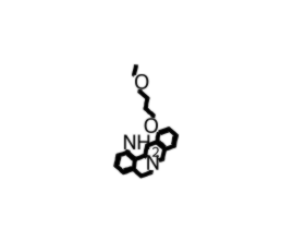 CCOCCCCOc1cccc2c1CC1c3c(N)cccc3CCN1C2